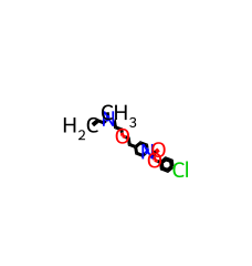 C=CCN(C)CCCOCCC1CCN(C(=O)Oc2ccc(Cl)cc2)CC1